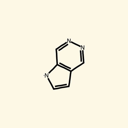 C1=Cc2cnncc2[N]1